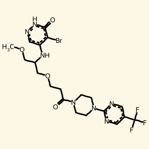 COCC(COCCC(=O)N1CCN(c2ncc(C(F)(F)F)cn2)CC1)Nc1cn[nH]c(=O)c1Br